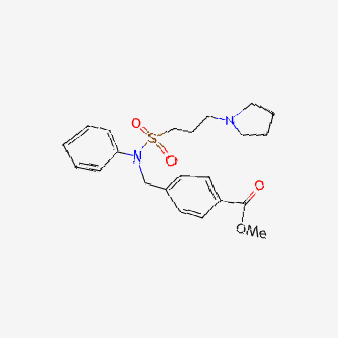 COC(=O)c1ccc(CN(c2ccccc2)S(=O)(=O)CCCN2CCCC2)cc1